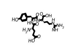 N=C(N)NCCC[C@H](NC(=O)[C@H](Cc1ccc(O)cc1)NC(=O)[C@@H](N)CCC(=O)O)C(=O)O